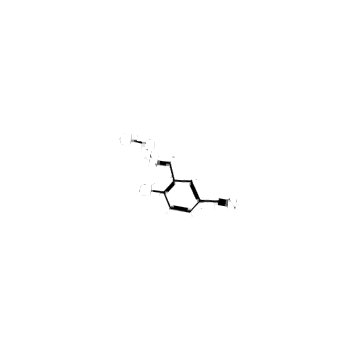 N#Cc1ccc(Cl)c(/C=N/OCl)c1